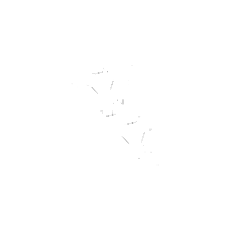 Bc1cnc(OC)c(NC(=O)c2ccc(C(C)(C)C)cc2)c1